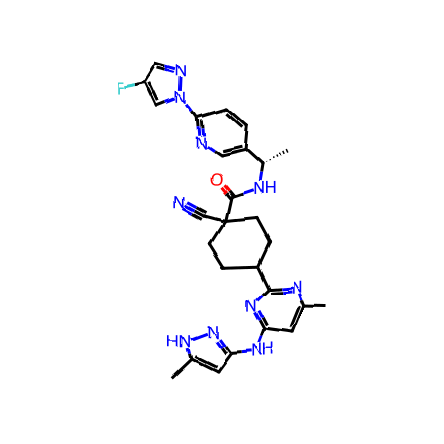 Cc1cc(Nc2cc(C)[nH]n2)nc(C2CCC(C#N)(C(=O)N[C@@H](C)c3ccc(-n4cc(F)cn4)nc3)CC2)n1